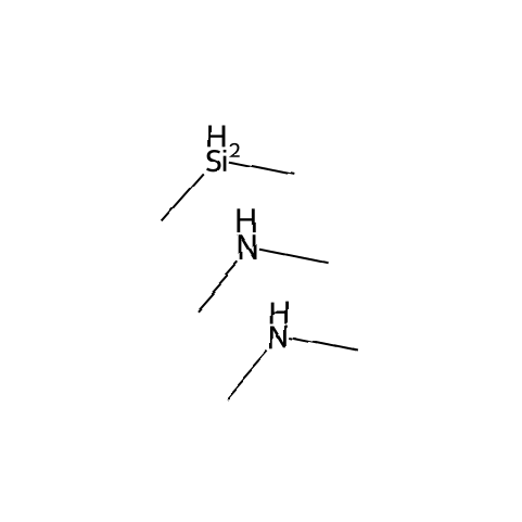 CNC.CNC.C[SiH2]C